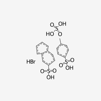 Br.Cc1ccc(S(=O)(=O)O)cc1.O=S(=O)(O)O.O=S(=O)(O)c1ccc2ccccc2c1